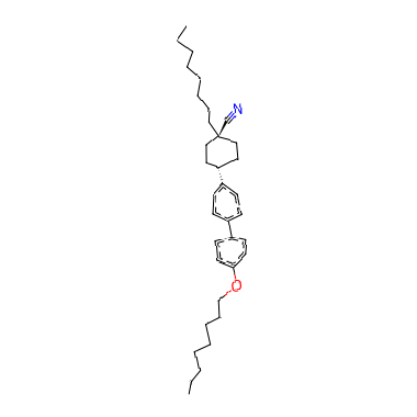 CCCCCCCCOc1ccc(-c2ccc([C@H]3CC[C@@](C#N)(CCCCCCCC)CC3)cc2)cc1